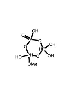 CO[PH]1(O)OP(=O)(O)O[PH](O)(O)O1